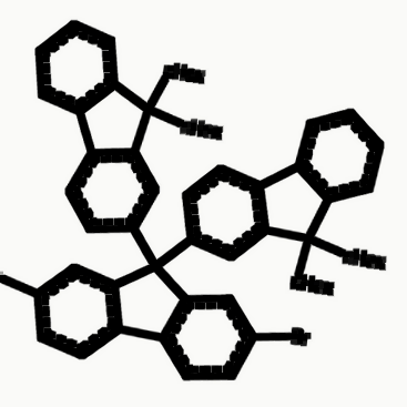 CCCCCCC1(CCCCCC)c2ccccc2-c2ccc(C3(c4ccc5c(c4)C(CCCCCC)(CCCCCC)c4ccccc4-5)c4cc(Br)ccc4-c4ccc(Br)cc43)cc21